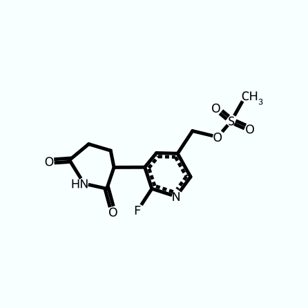 CS(=O)(=O)OCc1cnc(F)c(C2CCC(=O)NC2=O)c1